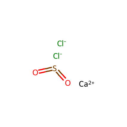 O=S=O.[Ca+2].[Cl-].[Cl-]